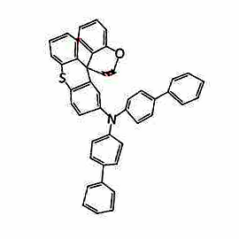 c1ccc(-c2ccc(N(c3ccc(-c4ccccc4)cc3)c3ccc4c(c3)C3(c5ccccc5Oc5ccccc53)c3ccccc3S4)cc2)cc1